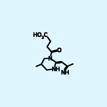 CC(=N)/C=C1\NCC(C)CN1C(=O)CCC(=O)O